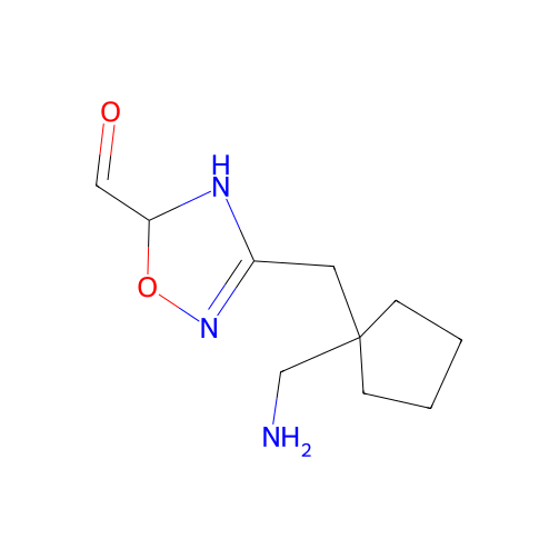 NCC1(CC2=NOC(C=O)N2)CCCC1